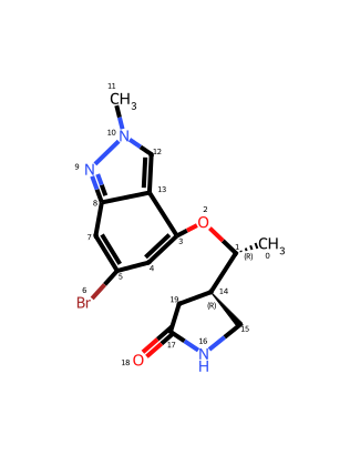 C[C@@H](Oc1cc(Br)cc2nn(C)cc12)[C@H]1CNC(=O)C1